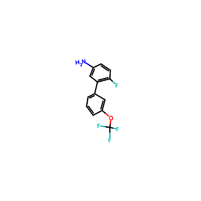 Nc1ccc(F)c(-c2cccc(OC(F)(F)F)c2)c1